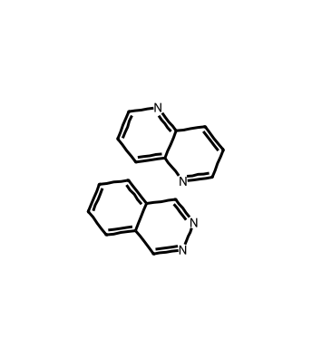 c1ccc2cnncc2c1.c1cnc2cccnc2c1